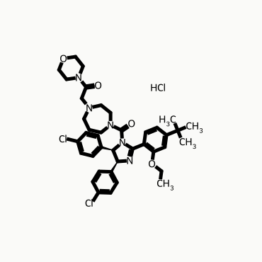 CCOc1cc(C(C)(C)C)ccc1C1=N[C@@H](c2ccc(Cl)cc2)[C@@H](c2ccc(Cl)cc2)N1C(=O)N1CCCN(CC(=O)N2CCOCC2)CC1.Cl